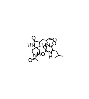 CC(=O)N1CCC2(CC1)CC(CC(C=O)NC(=O)C(CC(C)C)NC(=O)O)C(=O)N2